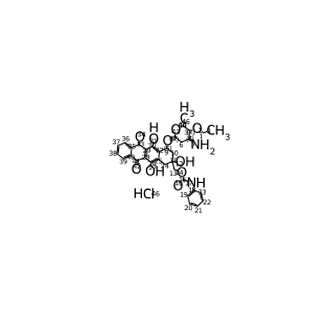 CCO[C@@H]1[C@@H](N)C[C@H](O[C@H]2CC(O)(COC(=O)Nc3ccccc3)Cc3c(O)c4c(c(O)c32)C(=O)c2ccccc2C4=O)O[C@@H]1C.Cl